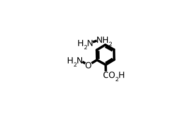 NN.NOc1ccccc1C(=O)O